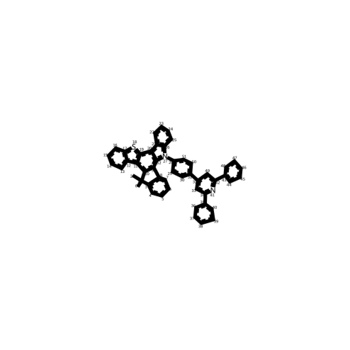 CC1(C)c2ccccc2-c2c1c1c3ccccc3sc1c1c3ccccc3n(-c3ccc(-c4cc(-c5ccccc5)nc(-c5ccccc5)c4)cc3)c21